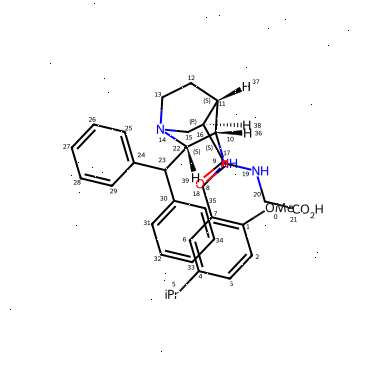 COc1ccc(C(C)C)cc1CN[C@H]1[C@H]2CCN(C[C@@H]2C(=O)NCC(=O)O)[C@H]1C(c1ccccc1)c1ccccc1